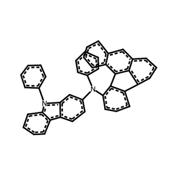 c1ccc(N(c2ccc3c4ccccc4n(-c4ccccc4)c3c2)c2cccc3c2-c2c4ccccc4cc4cccc-3c24)cc1